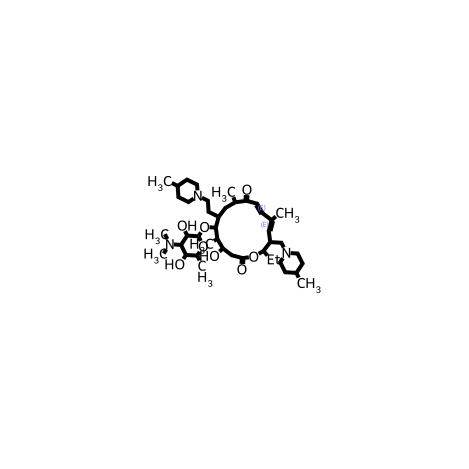 CCC1OC(=O)CC(O)C(C)C(OC2OC(C)C(O)C(N(C)C)C2O)C(CCN2CCC(C)CC2)CC(C)C(=O)/C=C/C(C)=C/C1CN1CCC(C)CC1